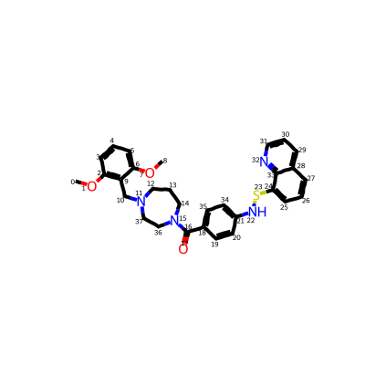 COc1cccc(OC)c1CN1CCCN(C(=O)c2ccc(NSc3cccc4cccnc34)cc2)CC1